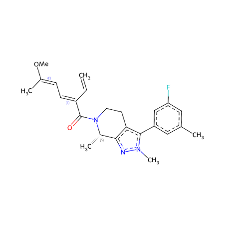 C=C/C(=C\C=C(/C)OC)C(=O)N1CCc2c(nn(C)c2-c2cc(C)cc(F)c2)[C@@H]1C